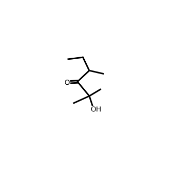 CCC(C)C(=O)C(C)(C)O